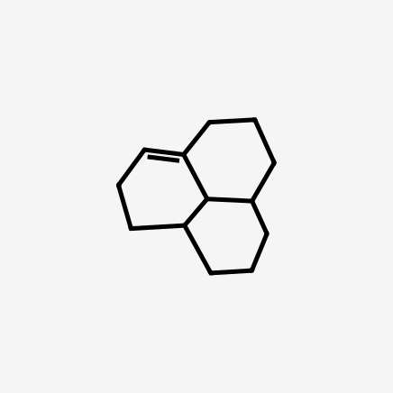 C1=C2CCCC3CCCC(CC1)C23